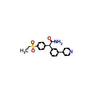 CCS(=O)(=O)c1ccc(C(C(N)=O)c2cccc(-c3ccncc3)c2)cc1